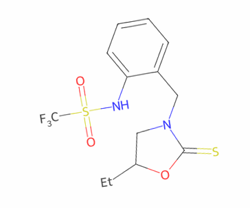 CCC1CN(Cc2ccccc2NS(=O)(=O)C(F)(F)F)C(=S)O1